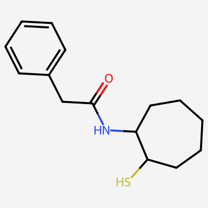 O=C(Cc1ccccc1)NC1CCCCCC1S